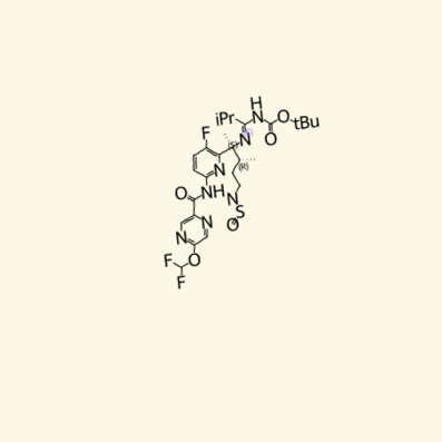 CC(C)/C(=N\[C@](C)(c1nc(NC(=O)c2cnc(OC(F)F)cn2)ccc1F)[C@H](C)CCN=S=O)NC(=O)OC(C)(C)C